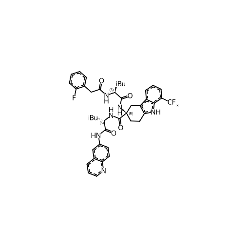 CCC(C)[C@H](NC(=O)Cc1ccccc1F)C(=O)N[C@]1(C(=O)N[C@H](C(=O)Nc2ccc3ncccc3c2)C(C)CC)CCc2[nH]c3c(C(F)(F)F)cccc3c2C1